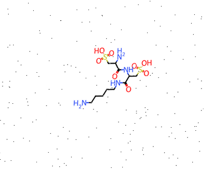 NCCCCCNC(=O)C(CS(=O)(=O)O)NC(=O)C(N)CS(=O)(=O)O